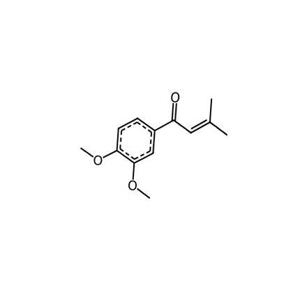 COc1ccc(C(=O)C=C(C)C)cc1OC